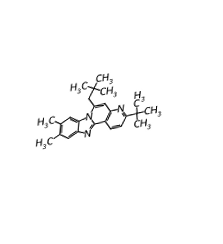 Cc1cc2nc3c4ccc(C(C)(C)C)nc4cc(CC(C)(C)C)n3c2cc1C